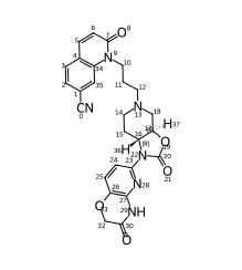 N#Cc1ccc2ccc(=O)n(CCCN3CC[C@@H]4[C@@H](C3)OC(=O)N4c3ccc4c(n3)NC(=O)CO4)c2c1